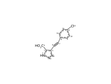 O=C(O)c1[nH]nnc1C#Cc1ccc(Cl)cc1